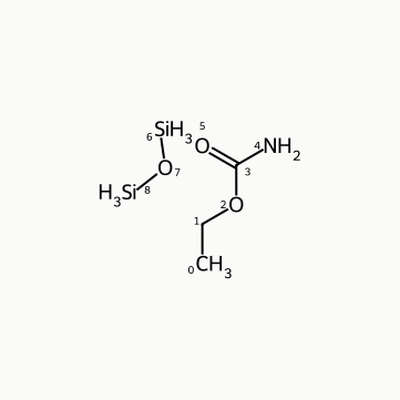 CCOC(N)=O.[SiH3]O[SiH3]